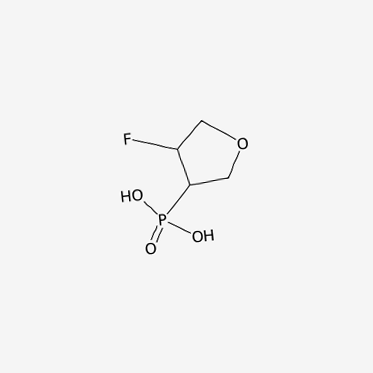 O=P(O)(O)C1COCC1F